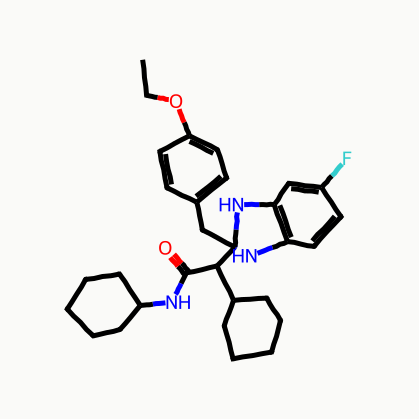 CCOc1ccc(CC2(C(C(=O)NC3CCCCC3)C3CCCCC3)Nc3ccc(F)cc3N2)cc1